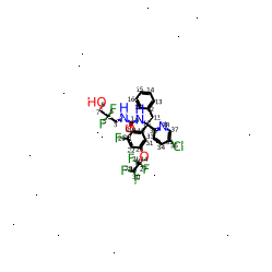 O=C(NCC(F)(F)CO)N[C@@](Cc1ccccc1)(c1cc(F)cc(OC(F)(F)C(F)F)c1)c1ccc(Cl)cn1